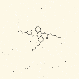 CCCCCC(=O)Oc1c2ccccc2c(OC(=O)CCCCC)c2cc(CCCCC)ccc12